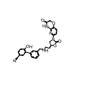 N#Cc1ccc(O)c(-c2cccc(CNCCC3CN(c4ccc5c(n4)NC(=O)CO5)C(=O)O3)c2)c1